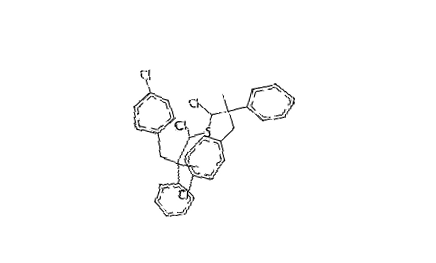 CC(Cc1ccc(Cl)cc1)(c1ccccc1)C(Cl)SC(Cl)C(C)(Cc1ccc(Cl)cc1)c1ccccc1